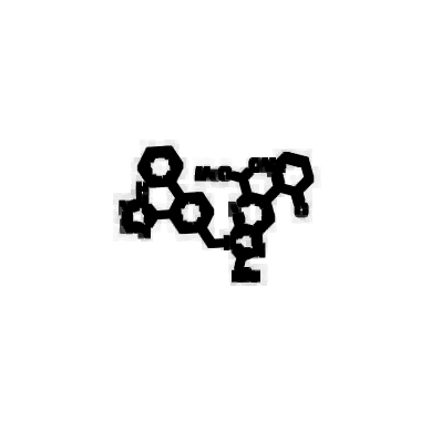 CCCCc1nc2cc(C3=NC=CCC3=O)c(C(OC)OC)nc2n1Cc1ccc(-c2ccccc2)c(-c2nnn[nH]2)c1